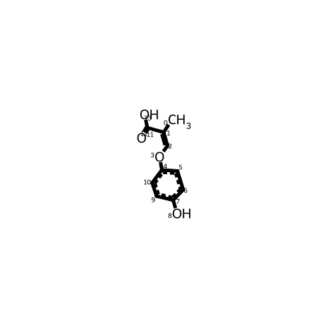 CC(=COc1ccc(O)cc1)C(=O)O